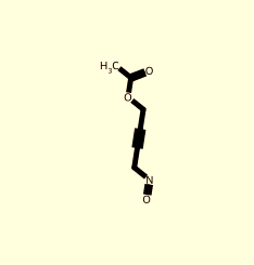 CC(=O)OCC#CCN=O